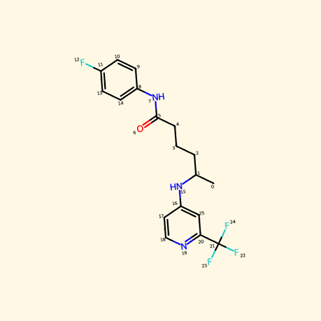 CC(CCCC(=O)Nc1ccc(F)cc1)Nc1ccnc(C(F)(F)F)c1